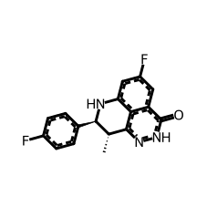 C[C@H]1c2n[nH]c(=O)c3cc(F)cc(c23)N[C@@H]1c1ccc(F)cc1